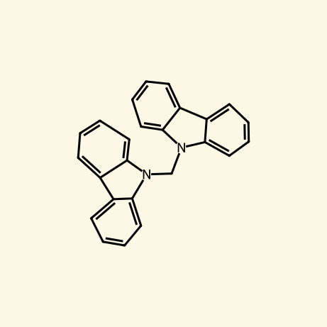 c1ccc2c(c1)c1ccccc1n2Cn1c2ccccc2c2ccccc21